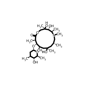 C[C@H]1CN(C)[C@H](C)[C@@H](O)[C@](C)(O)COC(=O)[C@H](C)[C@@H](O[C@H]2C[C@H](C)[C@@H](O)[C@H](C)O2)[C@H](C)C[C@](C)(O)C1